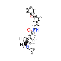 C[C@H]1C2Cc3ccc(C(=O)NCCc4cccc(Oc5ccccc5)c4)cc3[C@@]1(C)CCN2CC1CC1